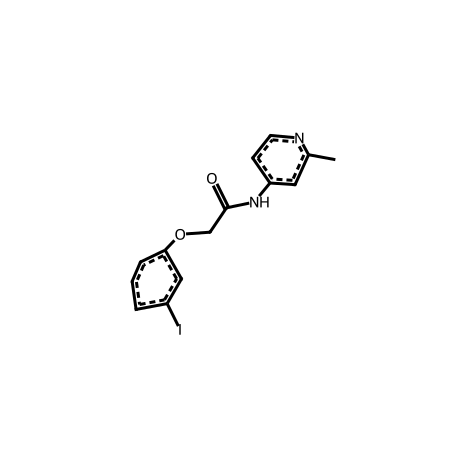 Cc1cc(NC(=O)COc2cccc(I)c2)ccn1